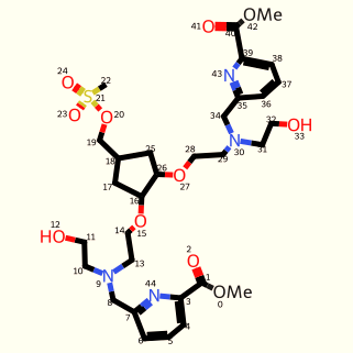 COC(=O)c1cccc(CN(CCO)CCOC2CC(COS(C)(=O)=O)CC2OCCN(CCO)Cc2cccc(C(=O)OC)n2)n1